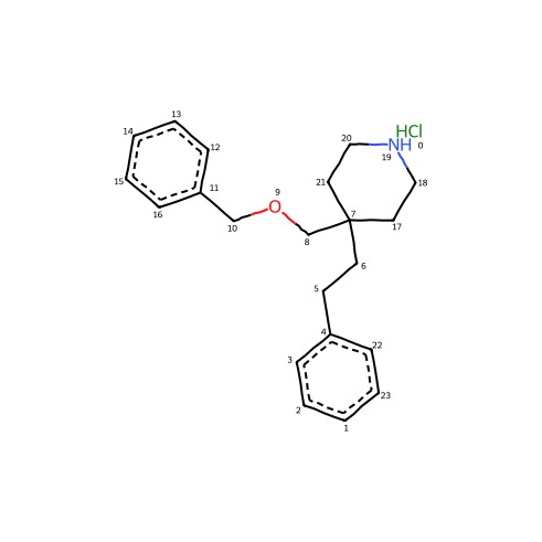 Cl.c1ccc(CCC2(COCc3ccccc3)CCNCC2)cc1